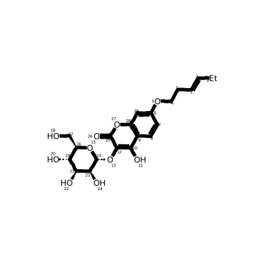 CCC=CCCOc1ccc2c(O)c(O[C@H]3O[C@H](CO)[C@@H](O)[C@H](O)[C@@H]3O)c(=O)oc2c1